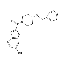 O=C(c1cc2ccc(O)cc2o1)N1CCC(OCc2ccccc2)CC1